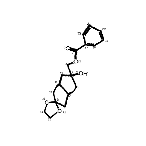 O=C(OCC1(O)CC2CC3(CC2C1)OCCO3)c1ccccc1